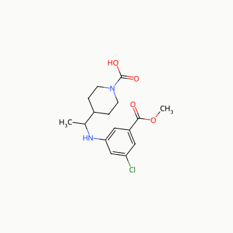 COC(=O)c1cc(Cl)cc(NC(C)C2CCN(C(=O)O)CC2)c1